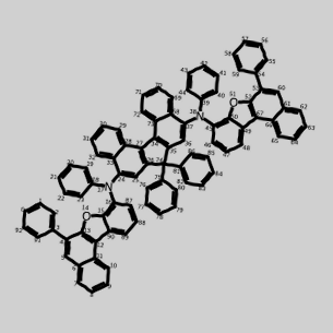 c1ccc(-c2cc3ccccc3c3c2oc2c(N(c4ccccc4)c4cc5c(c6ccccc46)-c4c(cc(N(c6ccccc6)c6cccc7c6oc6c(-c8ccccc8)cc8ccccc8c67)c6ccccc46)C5(c4ccccc4)c4ccccc4)cccc23)cc1